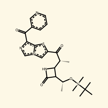 C[C@@H](O[Si](C)(C)C(C)(C)C)C1C(=O)NC1[C@@H](C)C(=O)c1cn2cnc(C(=O)c3cccnc3)c2s1